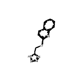 c1ccc2nc(OCc3nnn[nH]3)ccc2c1